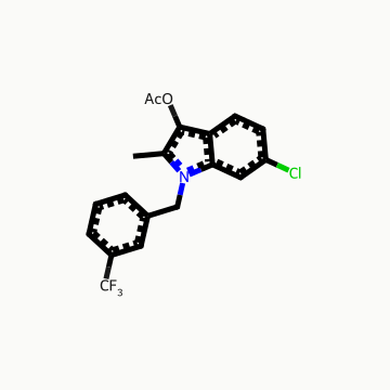 CC(=O)Oc1c(C)n(Cc2cccc(C(F)(F)F)c2)c2cc(Cl)ccc12